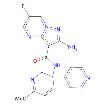 COC1=NCC(NC(=O)c2c(N)nn3cc(F)cnc23)(c2ccncc2)C=C1